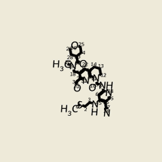 CSCCNc1cc(NC(=O)N2CCCc3cc(CN(C)C(=O)C4CCOCC4)c(C=O)nc32)ncc1C#N